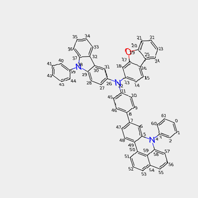 c1ccc(N2c3cc(-c4ccc(N(c5ccc6c(c5)oc5ccccc56)c5ccc6c(c5)c5ccccc5n6-c5ccccc5)cc4)ccc3-c3cccc4cccc2c34)cc1